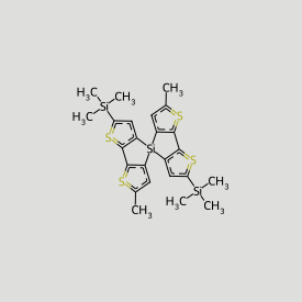 Cc1cc2c(s1)-c1sc([Si](C)(C)C)cc1[Si]21c2cc(C)sc2-c2sc([Si](C)(C)C)cc21